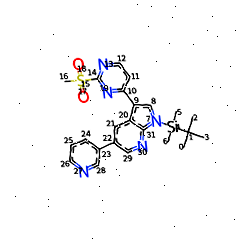 CC(C)(C)[Si](C)(C)n1cc(-c2ccnc(S(C)(=O)=O)n2)c2cc(-c3cccnc3)cnc21